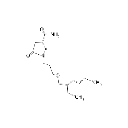 CCCCC(CC)COCCCN1CC(C(N)=O)CC1=O